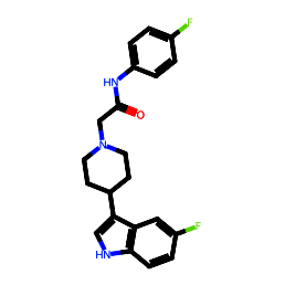 O=C(CN1CCC(c2c[nH]c3ccc(F)cc23)CC1)Nc1ccc(F)cc1